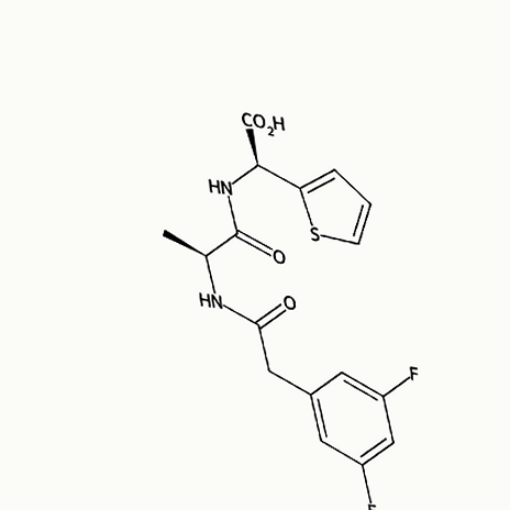 C[C@H](NC(=O)Cc1cc(F)cc(F)c1)C(=O)N[C@@H](C(=O)O)c1cccs1